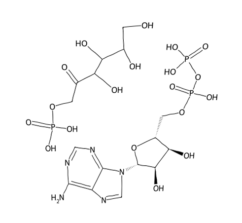 Nc1ncnc2c1ncn2[C@@H]1O[C@H](COP(=O)(O)OP(=O)(O)O)[C@@H](O)[C@H]1O.O=C(COP(=O)(O)O)C(O)C(O)C(O)CO